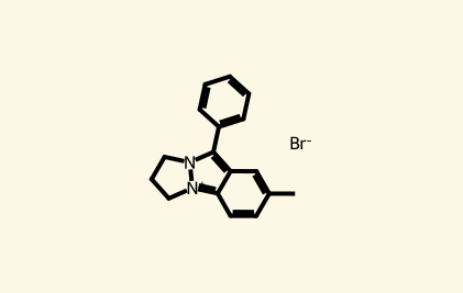 Cc1ccc2c(c1)c(-c1ccccc1)n1[n+]2CCC1.[Br-]